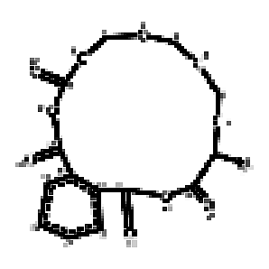 CCC1CCCCCCCC(=O)OC(=O)c2ccccc2C(=O)OC1=O